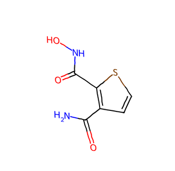 NC(=O)c1ccsc1C(=O)NO